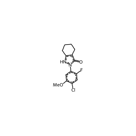 COc1cc(-n2[nH]c3c(c2=O)CCCC3)c(F)cc1Cl